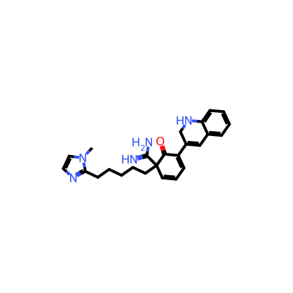 Cn1ccnc1CCCCCC1(C(=N)N)C=CC=C(C2=Cc3ccccc3NC2)C1=O